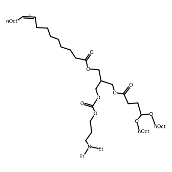 CCCCCCCC/C=C\CCCCCCCC(=O)OCC(COC(=O)CCC(OCCCCCCCC)OCCCCCCCC)COC(=O)OCCCN(CC)CC